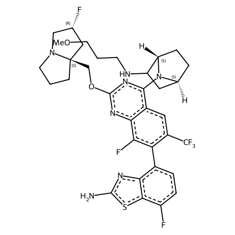 COCCCNC1C[C@@H]2CC[C@@H]1N2c1nc(OC[C@@]23CCCN2C[C@H](F)C3)nc2c(F)c(-c3ccc(F)c4sc(N)nc34)c(C(F)(F)F)cc12